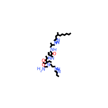 C=CC(C)(NC(C)C(=O)C(CC)(CC)N(CCCn1cc(CC)nn1)CC(N)=O)C(=O)CNCC(C)Cn1cc(CC(C)CCCCCC)nn1